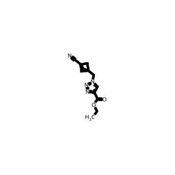 CCOC(=O)c1cn(CC23CC(C#N)(C2)C3)nn1